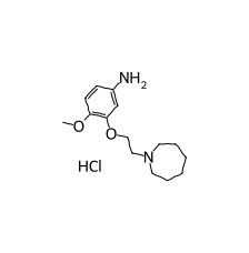 COc1ccc(N)cc1OCCN1CCCCCC1.Cl